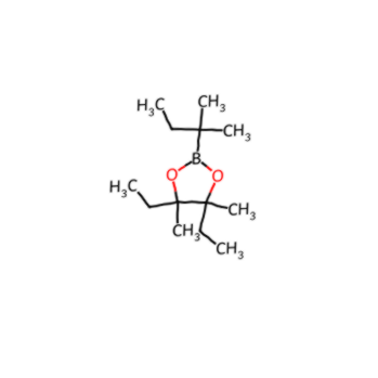 CCC(C)(C)B1OC(C)(CC)C(C)(CC)O1